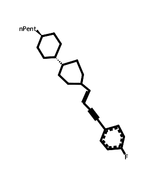 CCCCC[C@H]1CC[C@H](C2CCC(C=CC#Cc3ccc(F)cc3)CC2)CC1